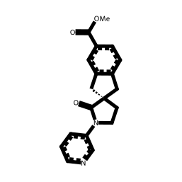 COC(=O)c1ccc2c(c1)C[C@@]1(CCN(c3cccnc3)C1=O)C2